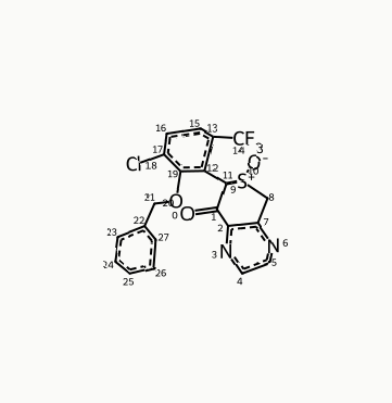 O=C1c2nccnc2C[S+]([O-])C1c1c(C(F)(F)F)ccc(Cl)c1OCc1ccccc1